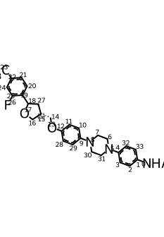 CC(=O)Nc1ccc(N2CCN(c3ccc(OC[C@@H]4COC(c5ccc(C)cc5F)C4)cc3)CC2)cc1